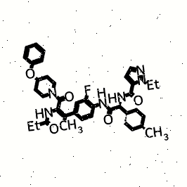 CCC(=O)N/C(C(=O)N1CCC(Oc2ccccc2)CC1)=C(\C)c1ccc(NC(=O)[C@@H](NC(=O)c2ccnn2CC)[C@H]2CC[C@H](C)CC2)c(F)c1